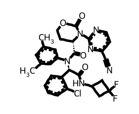 Cc1cc(C)cc(N(C(=O)[C@@H]2CCOC(=O)N2c2nccc(C#N)n2)[C@H](C(=O)NC2CC(F)(F)C2)c2ccccc2Cl)c1